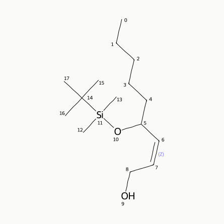 CCCCCC(/C=C\CO)O[Si](C)(C)C(C)(C)C